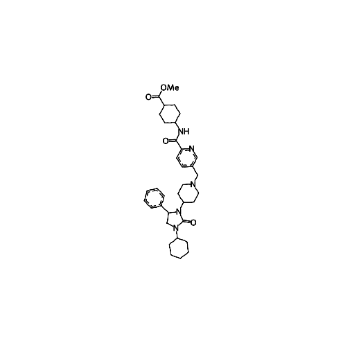 COC(=O)C1CCC(NC(=O)c2ccc(CN3CCC(N4C(=O)N(C5CCCCC5)CC4c4ccccc4)CC3)cn2)CC1